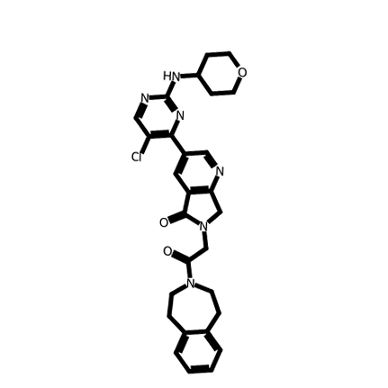 O=C(CN1Cc2ncc(-c3nc(NC4CCOCC4)ncc3Cl)cc2C1=O)N1CCc2ccccc2CC1